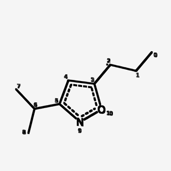 CC[CH]c1cc(C(C)C)no1